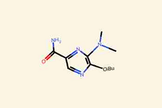 CC(C)COc1ncc(C(N)=O)nc1N(C)C